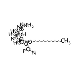 CCCCCCCCCCCCCCCCCOC[C@H](COP(=O)(O)OC[C@H](C#N)[C@@H](O)[C@@H](O)[C@@H](O)c1ccc2c(N)ncnn12)OCc1cc(F)cc(C#N)c1